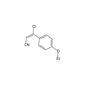 CCOc1ccc(/C(Cl)=C\C#N)cc1